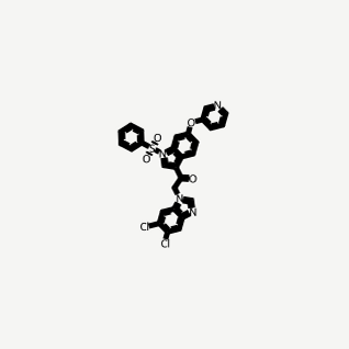 O=C(Cn1cnc2cc(Cl)c(Cl)cc21)c1cn(S(=O)(=O)c2ccccc2)c2cc(Oc3cccnc3)ccc12